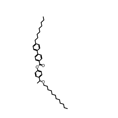 CCCCCCCCCCCCOC(C)c1ccc(OC(=O)c2ccc(-c3ccc(CCCCCCCCC)cc3)cc2)cc1